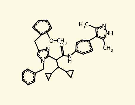 COc1ccccc1Cc1cn(Cc2ccccc2)c(C(C(=O)Nc2ccc(-c3c(C)n[nH]c3C)cc2)C(C2CC2)C2CC2)n1